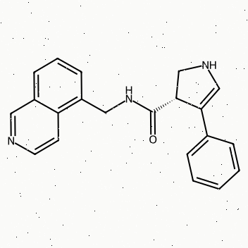 O=C(NCc1cccc2cnccc12)[C@@H]1CNC=C1c1ccccc1